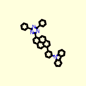 c1ccc(-c2nc(-c3ccccc3)nc(-c3ccc4ccc5c(-c6cccc(-n7c8ccccc8c8ccccc87)c6)ccc6ccc3c4c65)n2)cc1